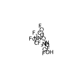 Oc1c(F)ccc(-c2nc(-c3ccc(OCc4ccc(F)cc4C(F)(F)F)c(NCc4ccc(F)cc4C(F)(F)F)c3)no2)c1F